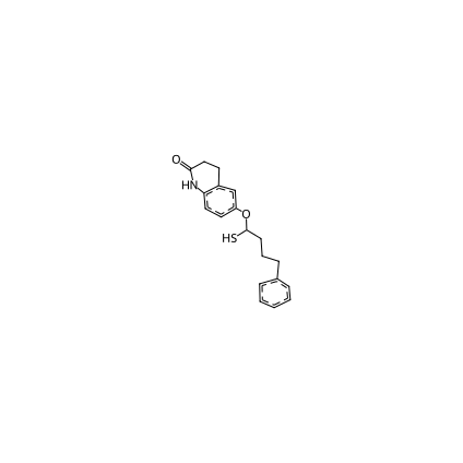 O=C1CCc2cc(OC(S)CCCc3ccccc3)ccc2N1